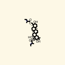 C/C=C(\C)C(=O)OC[C@@]12C(CC(C)(C)[C@@H](O)[C@@H]1O)C1=CCC3[C@@](C)(CCC4[C@]3(C)CC[C@H](O)[C@]4(C)COC(=O)/C(C)=C/C)C1C[C@H]2O